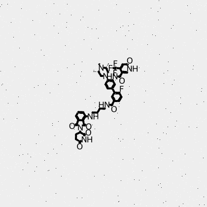 C[C@@H]1CN(c2ccc(-c3cc(C(=O)NCCCCNc4cccc5c4C(=O)N(C4CCC(=O)NC4=O)C5=O)ccc3F)cc2NC(=O)c2c[nH]c(=O)cc2C(F)(F)F)C[C@H](C)N1C